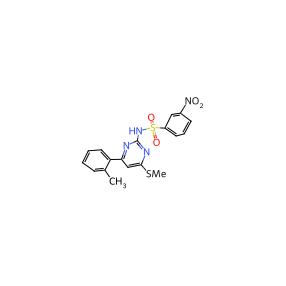 CSc1cc(-c2ccccc2C)nc(NS(=O)(=O)c2cccc([N+](=O)[O-])c2)n1